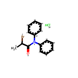 CC(Br)C(=O)N(c1ccccc1)c1ccccc1.Cl